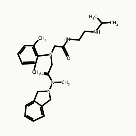 Cc1cccc(C)c1N(CC(=O)NCCNC(C)C)CC(=O)N(C)N1Cc2ccccc2C1